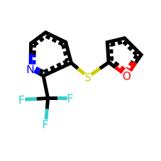 FC(F)(F)c1ncccc1Sc1ccco1